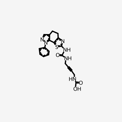 O=C(O)NCC#CCNC(=O)Nc1nc2c(s1)-c1c(cnn1-c1ccccc1)CC2